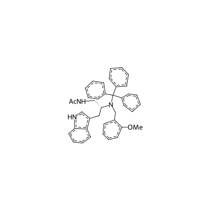 COc1ccccc1CN([C@@H](CNC(C)=O)Cc1c[nH]c2ccccc12)C(c1ccccc1)(c1ccccc1)c1ccccc1